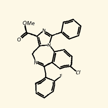 COC(=O)c1nc(-c2ccccc2)n2c1CN=C(c1ccccc1F)c1cc(Cl)ccc1-2